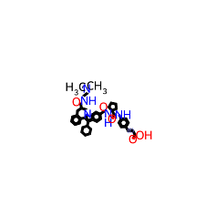 CN(C)CCNC(=O)C1Cc2ccccc2-c2c(C3CCCCC3)c3ccc(C(=O)NC4(C(=O)Nc5ccc(/C=C/C(=O)O)cc5)CCCC4)cc3n2C1